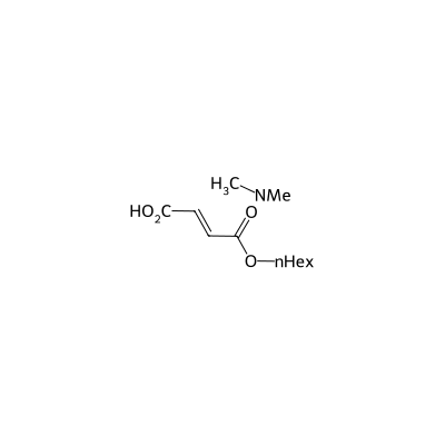 CCCCCCOC(=O)C=CC(=O)O.CNC